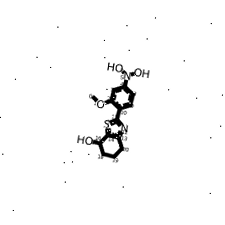 COc1cc(N(O)O)ccc1-c1nc2c(s1)C(O)CCC2